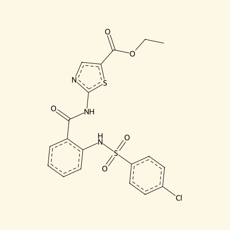 CCOC(=O)c1cnc(NC(=O)c2ccccc2NS(=O)(=O)c2ccc(Cl)cc2)s1